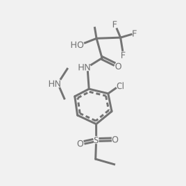 CCS(=O)(=O)c1ccc(NC(=O)C(C)(O)C(F)(F)F)c(Cl)c1.CNC